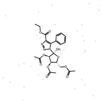 CCOC(=O)c1nnn([C@@]2(O)O[C@H](COC(C)=O)[C@@H](OC(C)=O)[C@H]2OC(C)=O)c1-c1ccccc1